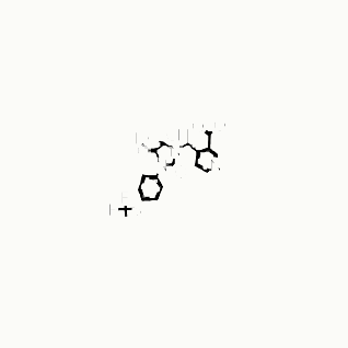 CC1(C)C(=O)N(c2ccc(SC(F)(F)F)cc2)C(=O)N1Cc1ccncc1C(=O)O